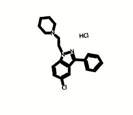 Cl.Clc1ccc2c(c1)c(-c1ccccc1)nn2CCN1CCCCC1